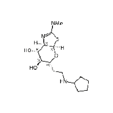 CNC1=N[C@@H]2[C@@H](O)[C@H](O)[C@@H](CCNC3CCCC3)O[C@@H]2S1